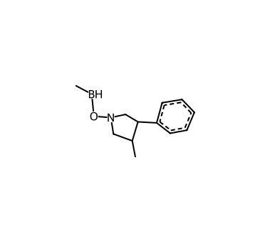 CBON1CC(C)C(c2ccccc2)C1